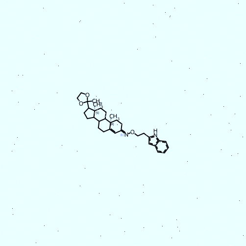 CC1(C2CCC3C4CCC5=C/C(=N/OCCc6cc7ccccc7[nH]6)CC[C@]5(C)C4CC[C@@]32C)OCCO1